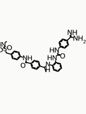 CNS(=O)(=O)Cc1ccc(NC(=O)c2ccc(C(C)Nc3ccccc3NC(=O)Nc3ccc(C(=N)N)cc3)cc2)cc1